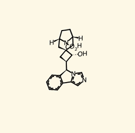 O=C(O)N1[C@@H]2CC[C@H]1C[C@@]1(C[C@H]([C@@H]3c4ccccc4-c4cncn43)[C@H]1O)C2